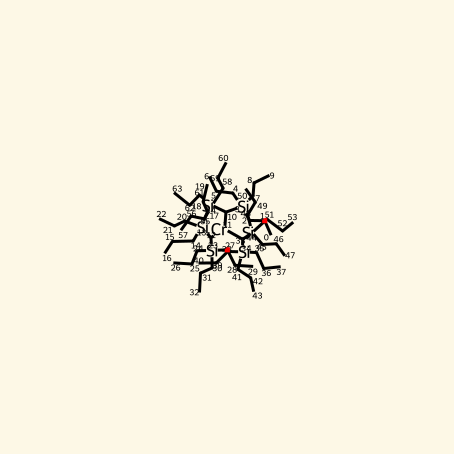 CCC[Si](CCC)(CCC)[CH]([Cr]([CH]([Si](CCC)(CCC)CCC)[Si](CCC)(CCC)CCC)[CH]([Si](CCC)(CCC)CCC)[Si](CCC)(CCC)CCC)[Si](CCC)(CCC)CCC